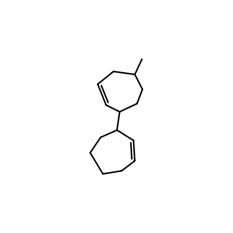 CC1CC=CC(C2C=CCCCC2)CC1